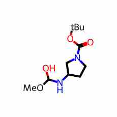 COC(O)NC1CCN(C(=O)OC(C)(C)C)C1